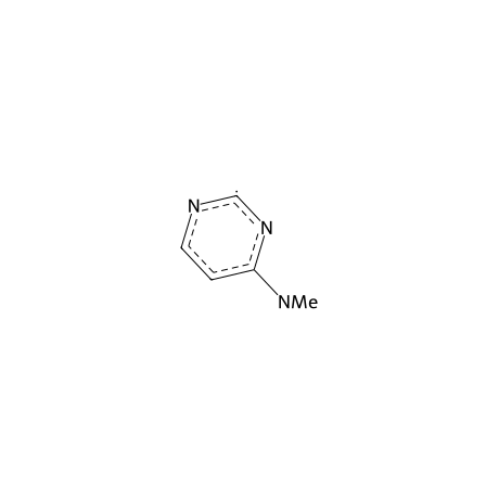 CNc1ccn[c]n1